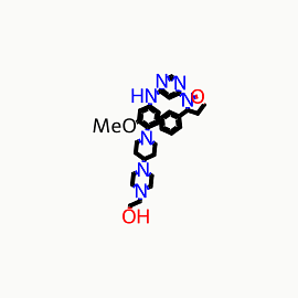 COc1cc(Nc2cc(N3OCCC3c3ccccc3)ncn2)ccc1N1CCC(N2CCN(CCO)CC2)CC1